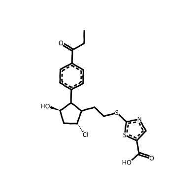 CCC(=O)c1ccc(C2C(CCSc3ncc(C(=O)O)s3)[C@H](Cl)C[C@H]2O)cc1